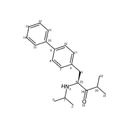 CC(C)N[C@@H](Cc1ccc(-c2ccccc2)cc1)C(=O)C(C)C